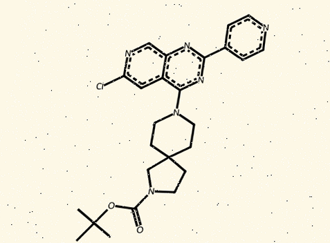 CC(C)(C)OC(=O)N1CCC2(CCN(c3nc(-c4ccncc4)nc4cnc(Cl)cc34)CC2)C1